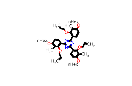 C=CCOc1c(-c2nc(-c3ccc(OCCCCCC)c(C)c3OCC=C)nc(-c3ccc(OCCCCCC)c(C)c3OCC=C)n2)ccc(OCCCCCC)c1C